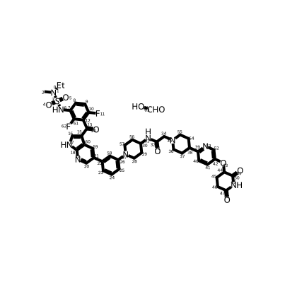 CCN(C)S(=O)(=O)Nc1ccc(F)c(C(=O)c2c[nH]c3ncc(-c4cccc(N5CCC(NC(=O)CN6CCC(c7ccc(OC8CCC(=O)NC8=O)cn7)CC6)CC5)c4)cc23)c1F.O=CO